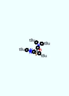 CC(C)(C)c1ccc(N(c2ccc(C(C)(C)C)cc2)c2ccc3c(c2)Oc2cc(C(C)(C)C)cc4c2B3c2cc3nn(-c5ccc(C(C)(C)C)cc5)nc3cc2S4)cc1